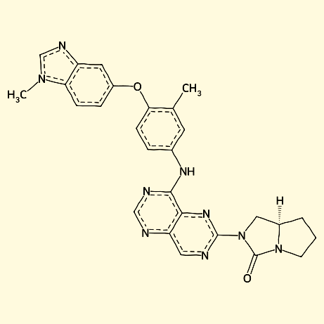 Cc1cc(Nc2ncnc3cnc(N4C[C@H]5CCCN5C4=O)nc23)ccc1Oc1ccc2c(c1)ncn2C